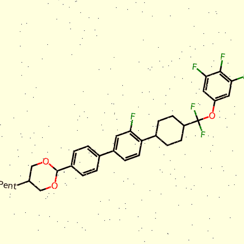 CCCCCC1COC(c2ccc(-c3ccc(C4CCC(C(F)(F)Oc5cc(F)c(F)c(F)c5)CC4)c(F)c3)cc2)OC1